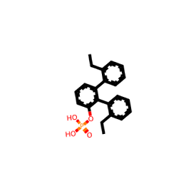 CCc1ccccc1-c1cccc(OP(=O)(O)O)c1-c1ccccc1CC